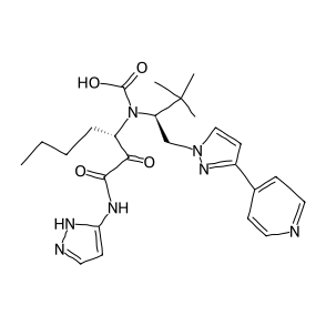 CCCC[C@@H](C(=O)C(=O)Nc1ccn[nH]1)N(C(=O)O)[C@H](Cn1ccc(-c2ccncc2)n1)C(C)(C)C